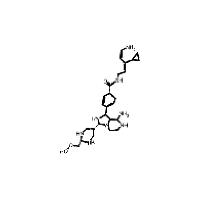 N/C=C\C(=C/CNC(=O)[C@@H]1C=CC(C2NC([C@H]3CN[C@H](COO)NC3)N3CCNC(N)C23)=CC1)C1CC1